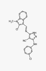 Cn1c(Cl)c(/C=N/c2[nH]nc(Nc3cccc(Cl)c3)c2C#N)c2ccccc21